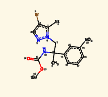 CCc1c(Br)cnn1CC(C)(NC(=O)OC(C)(C)C)c1cccc([N+](=O)[O-])c1